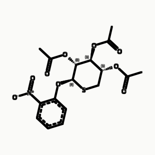 CC(=O)O[C@@H]1[C@@H](OC(C)=O)[C@H](OC(C)=O)CS[C@H]1Oc1ccccc1[N+](=O)[O-]